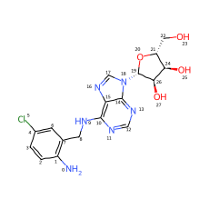 Nc1ccc(Cl)cc1CNc1ncnc2c1ncn2[C@@H]1O[C@H](CO)[C@@H](O)[C@H]1O